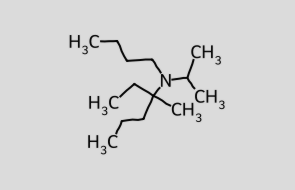 CCCCN(C(C)C)C(C)(CC)CCC